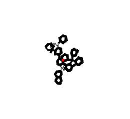 CC1(c2cc(-c3ccc4c(c3)c3c5c(ccc3n4-c3ccc4ccccc4c3)-c3ccccc3C5(c3ccccc3)c3ccccc3)ccc2Nc2ccccc2)C=CC=CC1